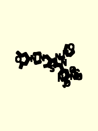 COc1ncc(-c2nc(N3CCOCC3)nc3c(CN4CCN(C5CC(C)OC(C)C5)CC4)c(C)sc23)cc1NS(C)(=O)=O